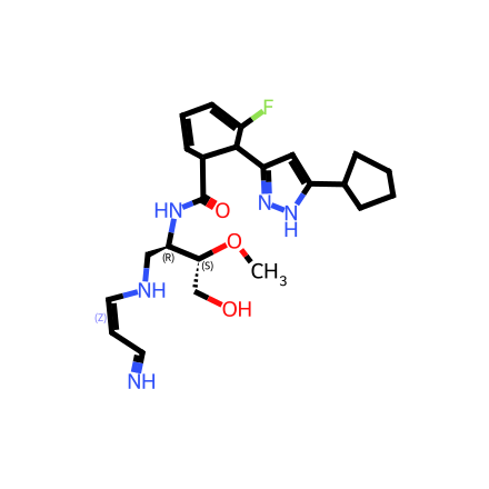 CO[C@H](CO)[C@@H](CN/C=C\C=N)NC(=O)C1C=CC=C(F)C1c1cc(C2CCCC2)[nH]n1